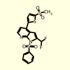 CS(=O)(=O)c1ccc(-c2ccnc3c2cc(C(F)F)n3S(=O)(=O)c2ccccc2)s1